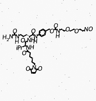 CC(C)C(NC(=O)CCCCCN1C(=O)C=CC1=O)C(=O)N[C@H](CCCNC(N)=O)C(=O)Nc1ccc(COC(=O)NCCOCCOCCN=O)cc1